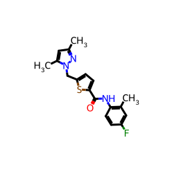 Cc1cc(C)n(Cc2ccc(C(=O)Nc3ccc(F)cc3C)s2)n1